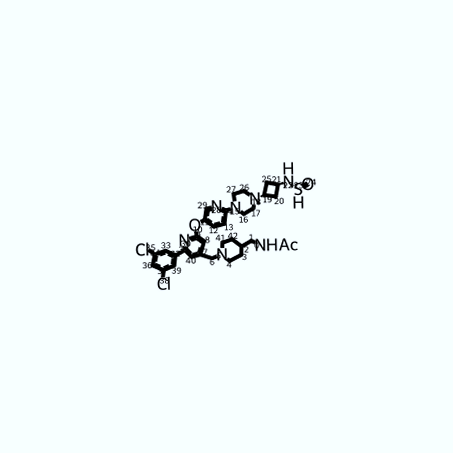 CC(=O)NCC1CCN(Cc2cc(Oc3ccc(N4CCN([C@H]5C[C@H](N[SH]=O)C5)CC4)nc3)nc(-c3cc(Cl)cc(Cl)c3)c2)CC1